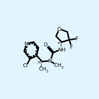 C[C@H](c1ccncc1Cl)N(C)C(=O)N[C@@H]1COCC1(F)F